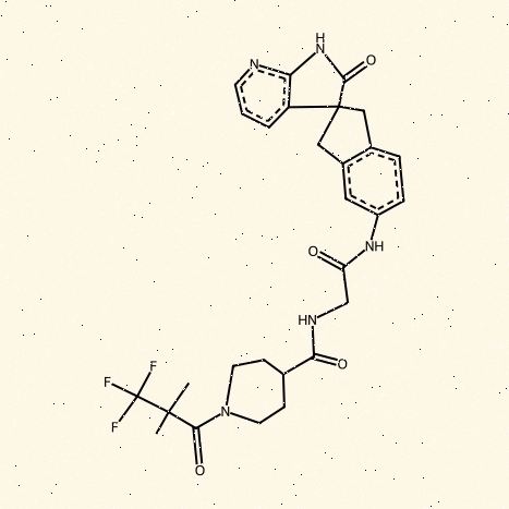 CC(C)(C(=O)N1CCC(C(=O)NCC(=O)Nc2ccc3c(c2)CC2(C3)C(=O)Nc3ncccc32)CC1)C(F)(F)F